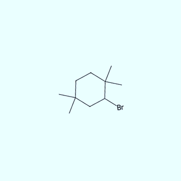 CC1(C)CCC(C)(C)C(Br)C1